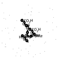 COc1ccc(C(=O)CC(Cc2ccc(Cl)cc2)C(=O)O)cc1.COc1ccc(CC(CC(=O)c2ccc(F)cc2)C(=O)O)cc1.Cc1ccc(C(=O)CC(Cc2ccccc2)C(=O)O)cc1.O=C(CC(Cc1ccccc1)C(=O)O)c1ccc2c(c1)OCO2